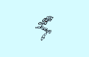 C#CCOc1cn([C@H]2C[C@H](O)[C@@H](COC(c3ccccc3)(c3ccccc3)c3cccc(OC)c3OC)O2)c(=O)[nH]c1=O